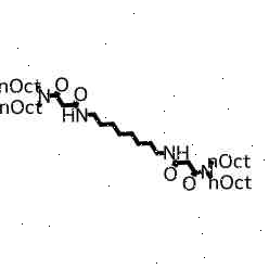 CCCCCCCCN(CCCCCCCC)C(=O)CC(=O)NCCCCCCCCNC(=O)CC(=O)N(CCCCCCCC)CCCCCCCC